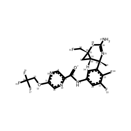 C[C@]1(c2cc(NC(=O)c3cnc(OCC(F)(F)F)cn3)cc(F)c2F)N=C(N)S[C@@]2(CF)C[C@H]21